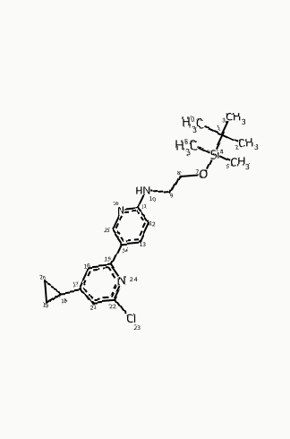 CC(C)(C)[Si](C)(C)OCCNc1ccc(-c2cc(C3CC3)cc(Cl)n2)cn1